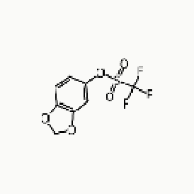 O=S(=O)(Oc1ccc2c(c1)OCO2)C(F)(F)F